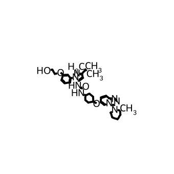 CC1CCCCN1c1nnc2ccc(OC3CCC(NC(=O)Nc4cc(C(C)(C)C)nn4-c4cccc(OCCO)c4)CC3)cn12